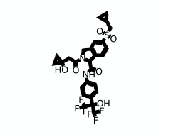 O=C(Nc1ccc(C(O)(C(F)(F)F)C(F)(F)F)cc1)C1c2ccc(S(=O)(=O)CC3CC3)cc2CN1C(=O)CC1(O)CC1